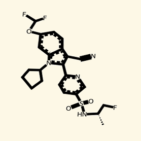 C[C@@H](CF)NS(=O)(=O)c1ccc(-c2c(C#N)c3ccc(OC(F)F)cc3n2C2CCCC2)nc1